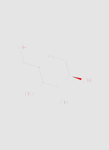 C[C@@H]1C(O)C(CO)OC[C@H]1O